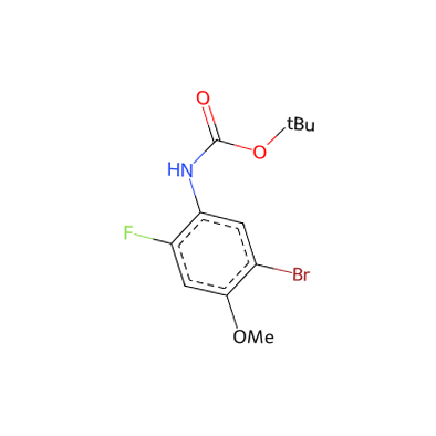 COc1cc(F)c(NC(=O)OC(C)(C)C)cc1Br